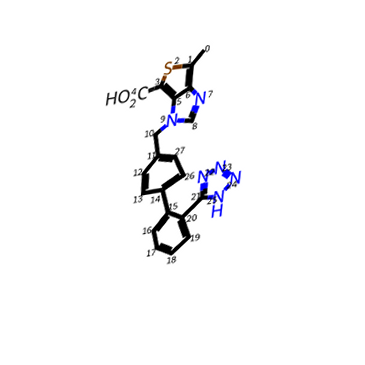 Cc1sc(C(=O)O)c2c1ncn2Cc1ccc(-c2ccccc2-c2nnn[nH]2)cc1